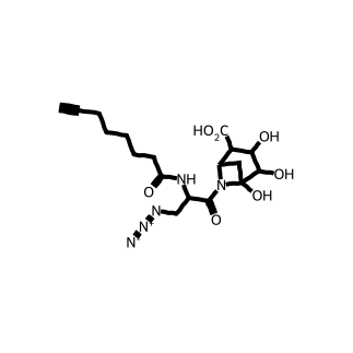 C#CCCCCCC(=O)NC(CN=[N+]=[N-])C(=O)N1C2CC1(O)C(O)C(O)C2C(=O)O